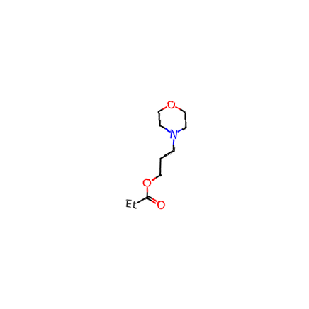 CCC(=O)OCCCN1CCOCC1